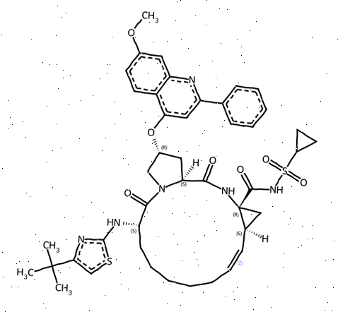 COc1ccc2c(O[C@@H]3C[C@H]4C(=O)N[C@]5(C(=O)NS(=O)(=O)C6CC6)C[C@H]5/C=C\CCCCC[C@H](Nc5nc(C(C)(C)C)cs5)C(=O)N4C3)cc(-c3ccccc3)nc2c1